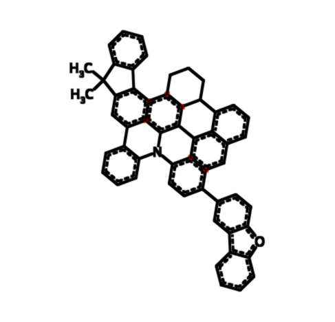 CC1(C)c2ccccc2-c2ccc(-c3ccccc3N(c3ccc(-c4ccc5oc6ccccc6c5c4)cc3)c3ccccc3-c3cccc4cccc(C5CCCCC5)c34)cc21